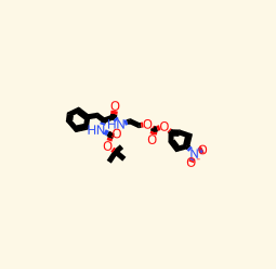 CC(C)(C)OC(=O)NC(Cc1ccccc1)C(=O)NCCOC(=O)Oc1ccc([N+](=O)[O-])cc1